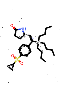 CCC[CH2][Sn]([CH2]CCC)([CH2]CCC)/[C](=C/[C@H]1CCC(=O)N1)c1ccc(S(=O)(=O)C2CC2)cc1